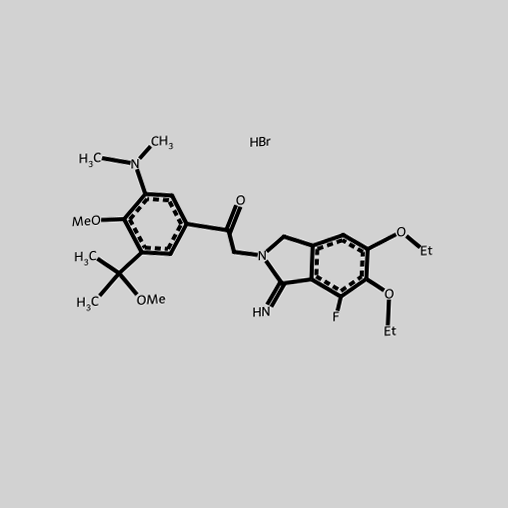 Br.CCOc1cc2c(c(F)c1OCC)C(=N)N(CC(=O)c1cc(N(C)C)c(OC)c(C(C)(C)OC)c1)C2